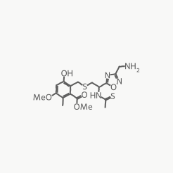 COC(=O)c1c(C)c(OC)cc(O)c1CSCC(NC(C)=S)c1nc(CN)no1